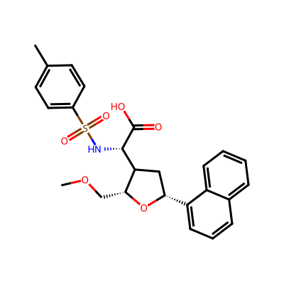 COC[C@H]1O[C@@H](c2cccc3ccccc23)CC1[C@H](NS(=O)(=O)c1ccc(C)cc1)C(=O)O